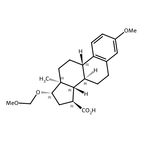 COCO[C@H]1C[C@H](C(=O)O)[C@H]2[C@@H]3CCc4cc(OC)ccc4[C@H]3CC[C@@]21C